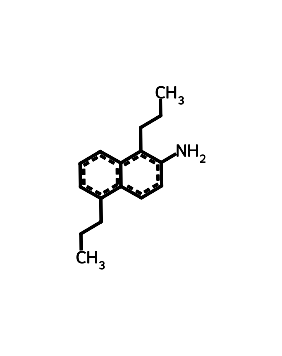 CCCc1cccc2c(CCC)c(N)ccc12